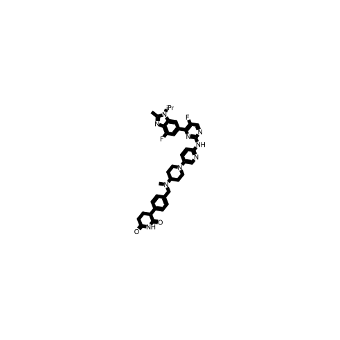 Cc1nc2c(F)cc(-c3nc(Nc4ccc(N5CCC(N(C)Cc6ccc(C7CCC(=O)NC7=O)cc6)CC5)cn4)ncc3F)cc2n1C(C)C